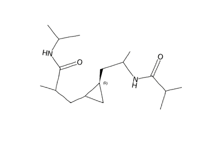 CC(C)NC(=O)C(C)CC1C[C@@H]1CC(C)NC(=O)C(C)C